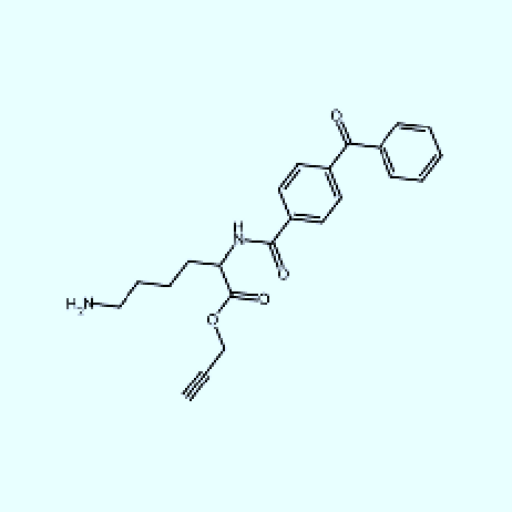 C#CCOC(=O)C(CCCCN)NC(=O)c1ccc(C(=O)c2ccccc2)cc1